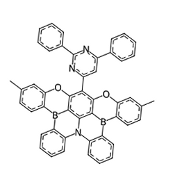 Cc1ccc2c(c1)Oc1c3c4c5c(c1-c1cc(-c6ccccc6)nc(-c6ccccc6)n1)Oc1cc(C)ccc1B5c1ccccc1N4c1ccccc1B23